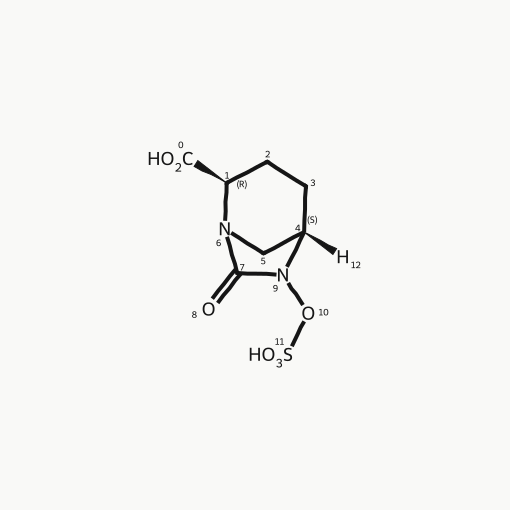 O=C(O)[C@H]1CC[C@H]2CN1C(=O)N2OS(=O)(=O)O